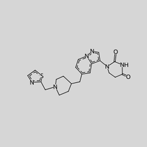 O=C1CCN(c2cnn3ccc(CC4CCN(Cc5nccs5)CC4)cc23)C(=O)N1